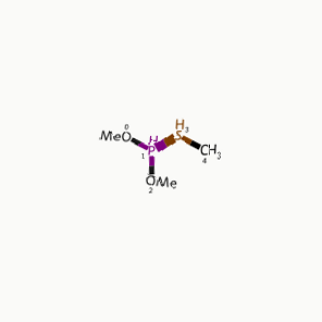 CO[PH](OC)=[SH]C